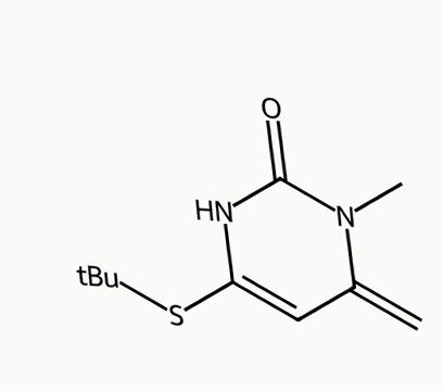 C=C1C=C(SC(C)(C)C)NC(=O)N1C